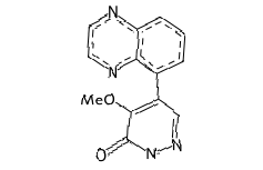 COC1=C(c2cccc3nccnc23)C=N[N]C1=O